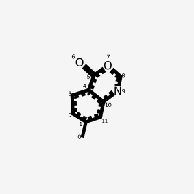 Cc1ccc2c(=O)ocnc2c1